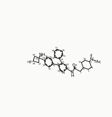 CC(=O)N(C)C1CCC(CC(=O)Nc2cc(-c3ccccc3)c(-c3ccc([C@]4(N)C[C@H](F)C4)cc3)cn2)CC1